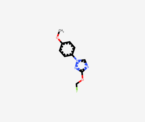 COc1ccc(-n2cnc(OCF)n2)cc1